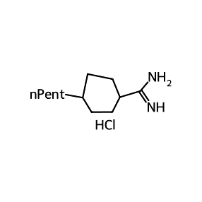 CCCCCC1CCC(C(=N)N)CC1.Cl